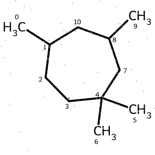 CC1C[CH]C(C)(C)CC(C)C1